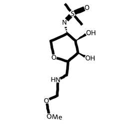 COOCNCC1OC[C@H](N=S(C)(C)=O)[C@@H](O)[C@H]1O